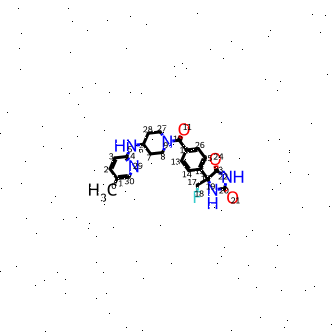 Cc1ccc(NC2CCN(C(=O)c3ccc(C4(CF)NC(=O)NC4=O)cc3)CC2)nc1